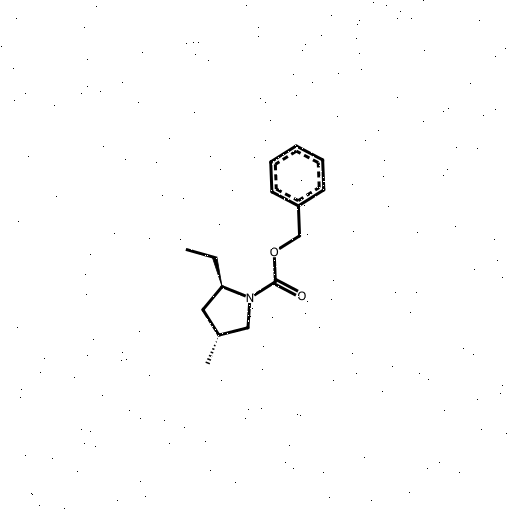 CC[C@@H]1C[C@@H](C)CN1C(=O)OCc1ccccc1